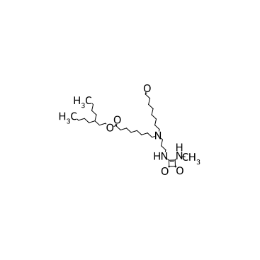 CCCCC(CCCC)CCOC(=O)CCCCCCCN(CCCCCCCC=O)CCCNc1c(NC)c(=O)c1=O